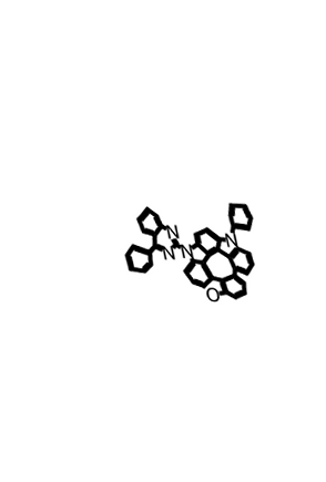 c1ccc(-c2nc(-n3c4ccc5oc6cccc7c8cccc9c8c8c(c4c5c67)c3ccc8n9-c3ccccc3)nc3ccccc23)cc1